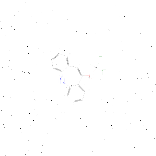 FC(F)(F)OC1=Cc2ccccc2Nc2ccccc21